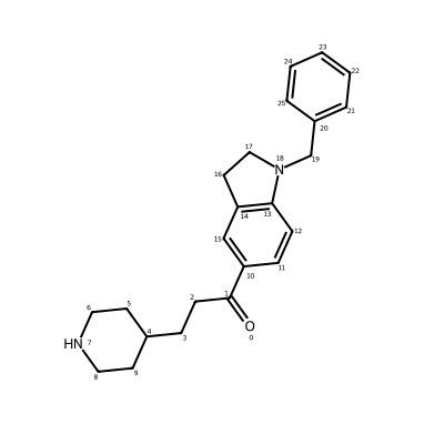 O=C(CCC1CCNCC1)c1ccc2c(c1)CCN2Cc1ccccc1